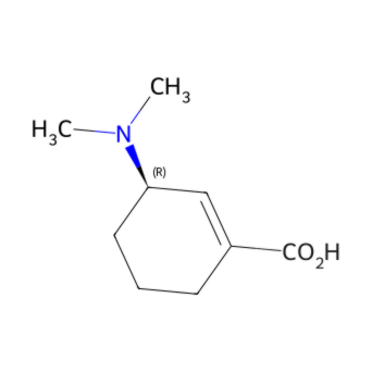 CN(C)[C@H]1C=C(C(=O)O)CCC1